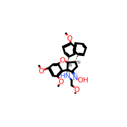 COCCN[C@@]12/C(=N/O)C[C@@H](c3ccccc3)[C@]1(c1ccc(OC)cc1)Oc1cc(OC)cc(OC)c12